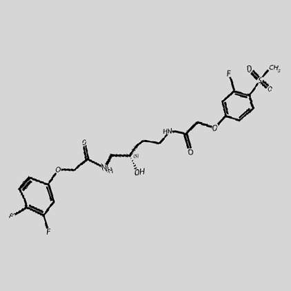 CS(=O)(=O)c1ccc(OCC(=O)NCC[C@H](O)CNC(=O)COc2ccc(F)c(F)c2)cc1F